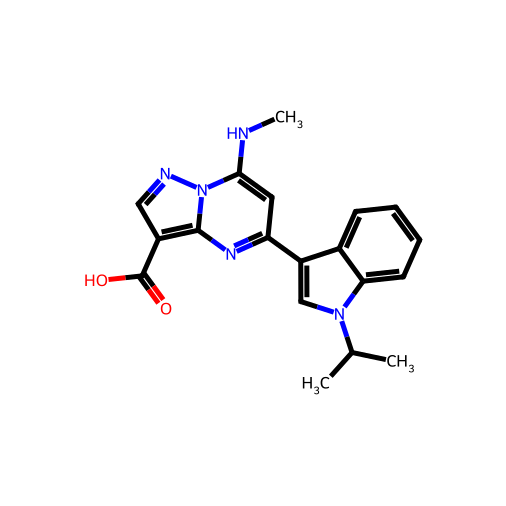 CNc1cc(-c2cn(C(C)C)c3ccccc23)nc2c(C(=O)O)cnn12